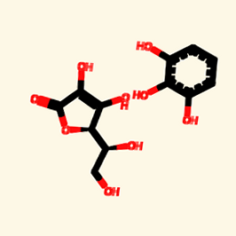 O=C1O[C@H]([C@@H](O)CO)C(O)=C1O.Oc1cccc(O)c1O